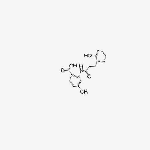 O=C(/C=C/c1ccccc1O)Nc1cc(O)ccc1C(=O)O